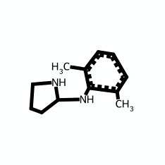 Cc1cccc(C)c1NC1CCCN1